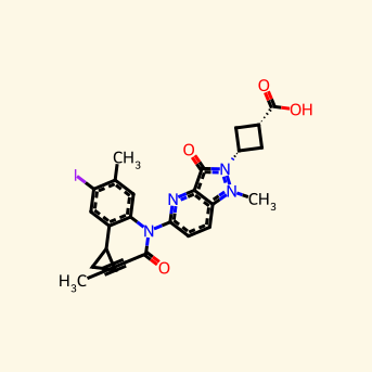 CC#CC(=O)N(c1ccc2c(n1)c(=O)n([C@H]1C[C@@H](C(=O)O)C1)n2C)c1cc(C)c(I)cc1C1CC1